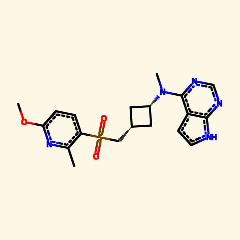 COc1ccc(S(=O)(=O)C[C@H]2C[C@@H](N(C)c3ncnc4[nH]ccc34)C2)c(C)n1